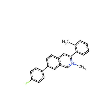 Cc1ccccc1-c1cc2ccc(-c3ccc(F)cc3)cc2c[n+]1C